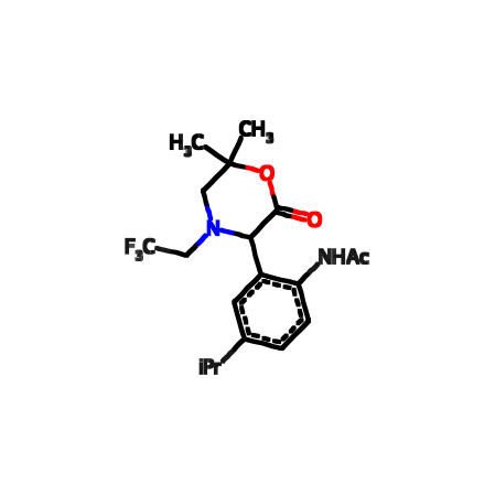 CC(=O)Nc1ccc(C(C)C)cc1C1C(=O)OC(C)(C)CN1CC(F)(F)F